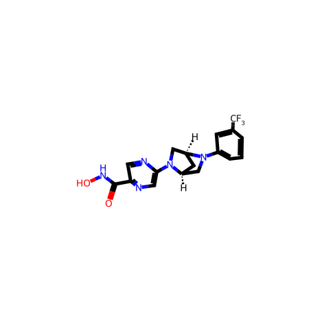 O=C(NO)c1cnc(N2C[C@@H]3C[C@H]2CN3c2cccc(C(F)(F)F)c2)cn1